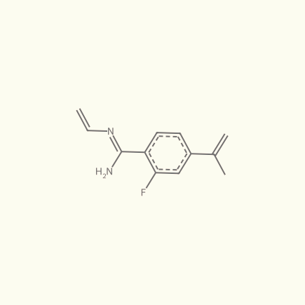 C=C/N=C(\N)c1ccc(C(=C)C)cc1F